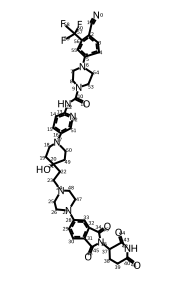 N#Cc1ccc(N2CCN(C(=O)Nc3ccc(N4CCC(O)(CCN5CCN(c6ccc7c(c6)C(=O)N(C6CCC(=O)NC6=O)C7=O)CC5)CC4)cn3)CC2)cc1C(F)(F)F